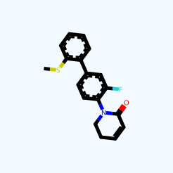 CSc1ccccc1-c1ccc(N2CCC=CC2=O)c(F)c1